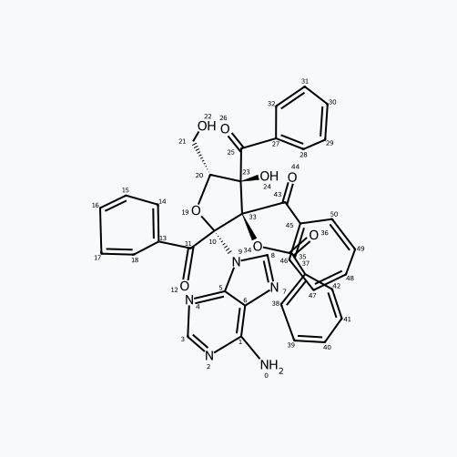 Nc1ncnc2c1ncn2[C@]1(C(=O)c2ccccc2)O[C@H](CO)[C@](O)(C(=O)c2ccccc2)[C@]1(OC(=O)c1ccccc1)C(=O)c1ccccc1